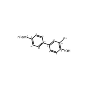 CCCCCc1ccc(-c2ccc(O)c(F)c2)cc1